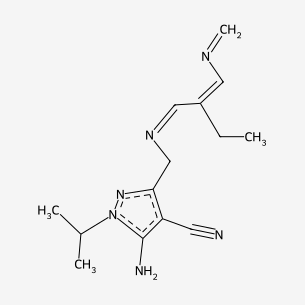 C=N/C=C(\C=N/Cc1nn(C(C)C)c(N)c1C#N)CC